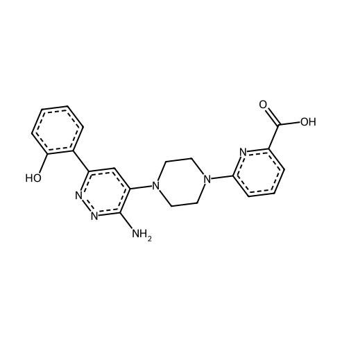 Nc1nnc(-c2ccccc2O)cc1N1CCN(c2cccc(C(=O)O)n2)CC1